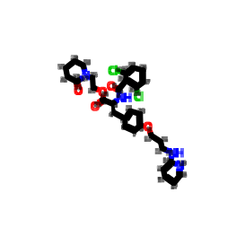 O=C(N[C@@H](Cc1ccc(OCCCNc2ccccn2)cc1)C(=O)OCCN1CCCCC1=O)c1c(Cl)cccc1Cl